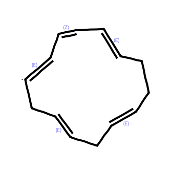 [C]1=C/C=C\C=C\CC/C=C/C/C=C/C/1